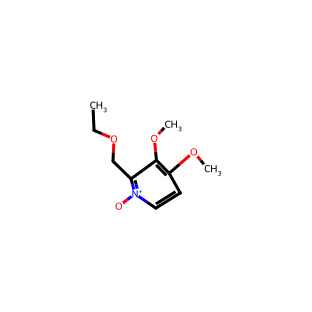 CCOCc1c(OC)c(OC)cc[n+]1[O-]